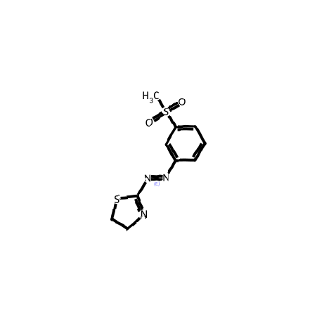 CS(=O)(=O)c1cccc(/N=N/C2=NCCS2)c1